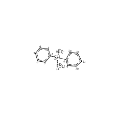 C[CH][Si](c1ccccc1)(c1ccccc1)C(C)(C)C